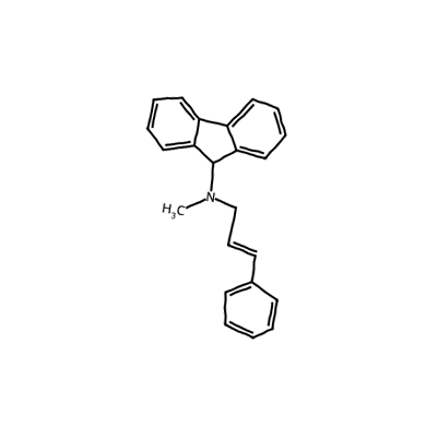 CN(CC=Cc1ccccc1)C1c2ccccc2-c2ccccc21